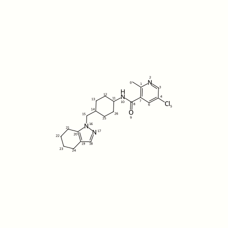 Cc1ncc(Cl)cc1C(=O)NC1CCC(Cn2ncc3c2CCCC3)CC1